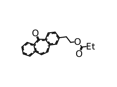 CCC(=O)OCCc1ccc2c(=O)c3ccccc3ccc2c1